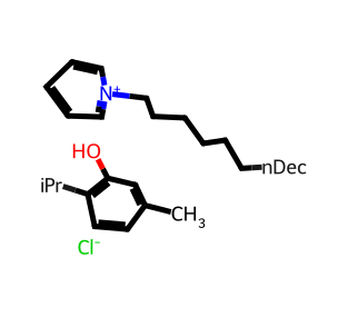 CCCCCCCCCCCCCCCC[n+]1ccccc1.Cc1ccc(C(C)C)c(O)c1.[Cl-]